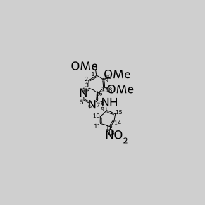 COc1cc2ncnc(Nc3ccc([N+](=O)[O-])cc3)c2c(OC)c1OC